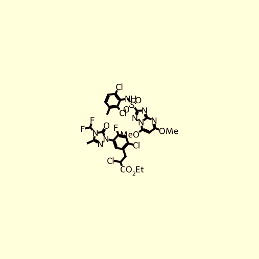 CCOC(=O)C(Cl)Cc1cc(-n2nc(C)n(C(F)F)c2=O)c(F)cc1Cl.COc1cc(OC)n2nc(S(=O)(=O)Nc3c(Cl)ccc(C)c3Cl)nc2n1